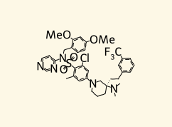 COc1ccc(CN(c2ccncn2)S(=O)(=O)c2c(C)cc(N3CCC[C@](CCc4cccc(C(F)(F)F)c4)(N(C)C)C3)cc2Cl)c(OC)c1